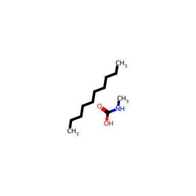 CCCCCCCCCC.CNC(=O)O